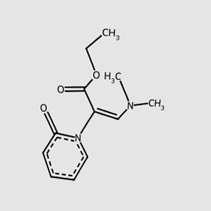 CCOC(=O)C(=CN(C)C)n1ccccc1=O